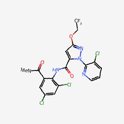 CNC(=O)c1cc(Cl)cc(Cl)c1NC(=O)c1cc(OCC(F)(F)F)nn1-c1ncccc1Cl